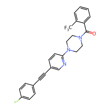 O=C(c1ccccc1C(F)(F)F)N1CCN(c2ccc(C#Cc3ccc(F)cc3)cn2)CC1